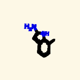 Cc1cccc2cc(N)[nH]c12